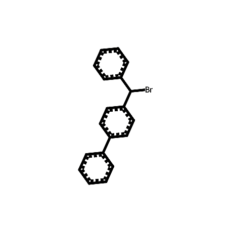 BrC(c1ccccc1)c1ccc(-c2ccccc2)cc1